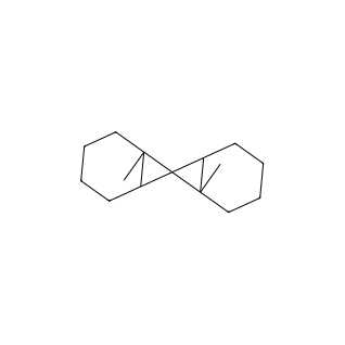 CC12CCCCC1C21C2CCCCC21C